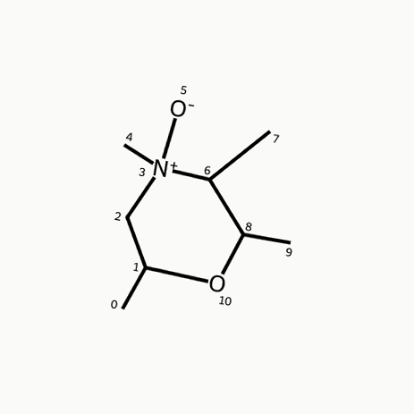 CC1C[N+](C)([O-])C(C)C(C)O1